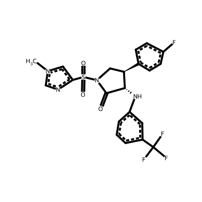 Cn1cnc(S(=O)(=O)N2C[C@@H](c3ccc(F)cc3)[C@H](Nc3cccc(C(F)(F)F)c3)C2=O)c1